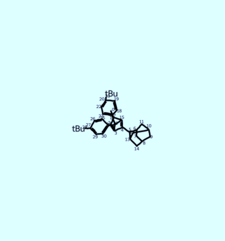 CC1[C]=C2C(C3C4CC5CC(C4)CC3C5)=C1C2(c1ccc(C(C)(C)C)cc1)c1ccc(C(C)(C)C)cc1